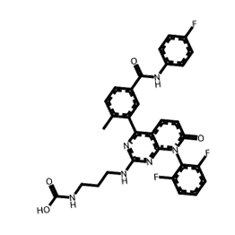 Cc1ccc(C(=O)Nc2ccc(F)cc2)cc1-c1nc(NCCCNC(=O)O)nc2c1ccc(=O)n2-c1c(F)cccc1F